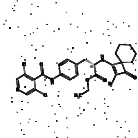 CCOC(=O)[C@H](Cc1ccc(NC(=O)c2c(Cl)cncc2Cl)cc1)NC1=C(Br)C(=O)C12CCCCC2